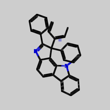 C=C/C(=C\C)C1(c2ccccc2)C(c2ccccc2)=Nc2ccc3c4ccccc4n(C)c3c21